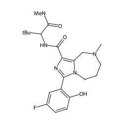 CNC(=O)C(NC(=O)c1nc(-c2cc(F)ccc2O)n2c1CN(C)CCC2)C(C)(C)C